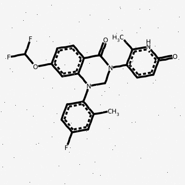 Cc1cc(F)ccc1N1CN(c2ccc(=O)[nH]c2C)C(=O)c2ccc(OC(F)F)cc21